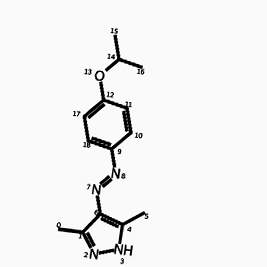 Cc1n[nH]c(C)c1N=Nc1ccc(OC(C)C)cc1